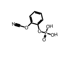 N#COc1ccccc1OP(=O)(O)O